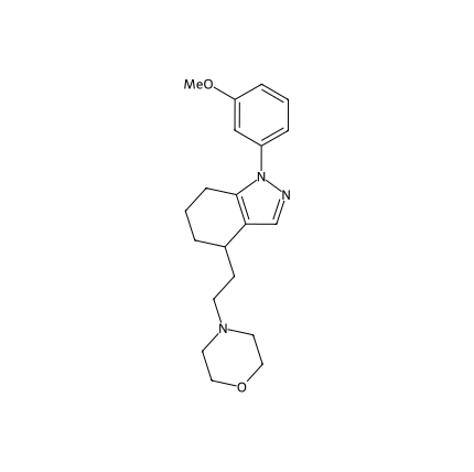 COc1cccc(-n2ncc3c2CCCC3CCN2CCOCC2)c1